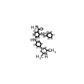 CC1CN(c2ccc(Nc3cc(NCc4ccccc4)c(C(N)=O)cn3)cc2)CC(C)N1